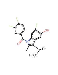 Cc1c(C(C(=O)O)C(C)C)c2cc(O)c(F)cc2n1C(=O)c1ccc(F)c(F)c1